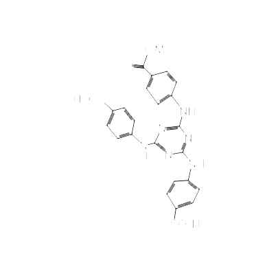 COC(=O)c1ccc(Nc2nc(Nc3ccc(C(=O)O)cc3)nc(Nc3ccc(C(=O)O)cc3)n2)cc1